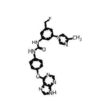 Cc1cn(-c2cc(CF)cc(NC(=O)Nc3ccc(Oc4ncnc5[nH]cnc45)cc3)c2)cn1